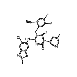 C#Cc1cc(F)c(F)cc1Cn1c(Nc2cc3cn(C)nc3cc2Cl)nc(=O)n(-c2cncc(C)c2)c1=O